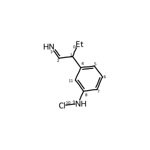 CCC(C=N)c1cccc(NCl)c1